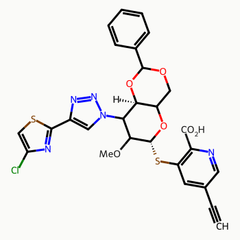 C#Cc1cnc(C(=O)O)c(S[C@H]2OC3COC(c4ccccc4)O[C@@H]3C(n3cc(-c4nc(Cl)cs4)nn3)C2OC)c1